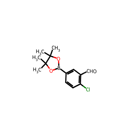 CC1(C)OB(c2ccc(Cl)c(C=O)c2)OC1(C)C